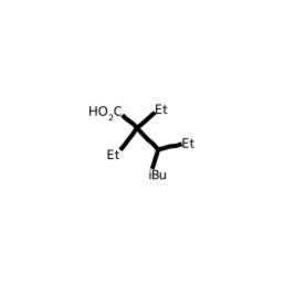 CCC(C)C(CC)C(CC)(CC)C(=O)O